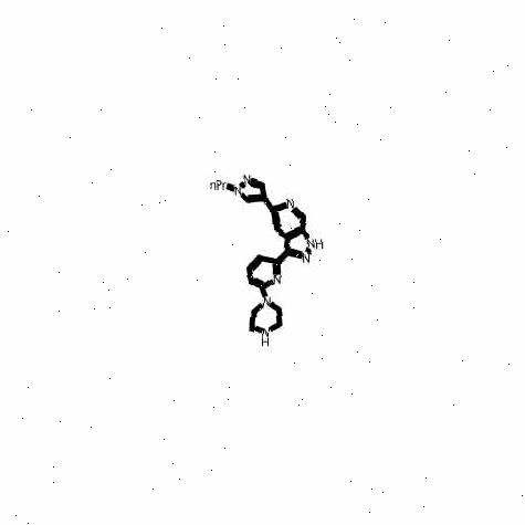 CCCn1cc(-c2cc3c(-c4cccc(N5CCNCC5)n4)n[nH]c3cn2)cn1